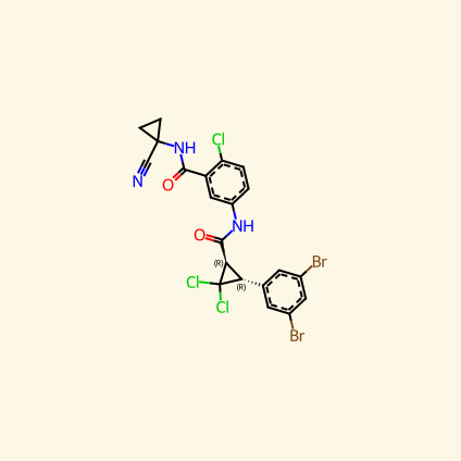 N#CC1(NC(=O)c2cc(NC(=O)[C@H]3[C@H](c4cc(Br)cc(Br)c4)C3(Cl)Cl)ccc2Cl)CC1